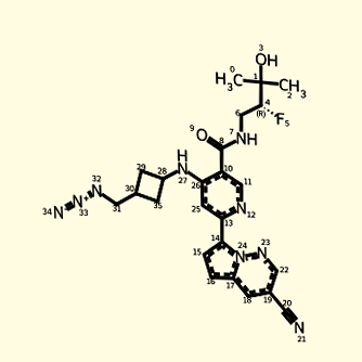 CC(C)(O)[C@H](F)CNC(=O)c1cnc(-c2ccc3cc(C#N)cnn23)cc1NC1CC(CN=[N+]=[N-])C1